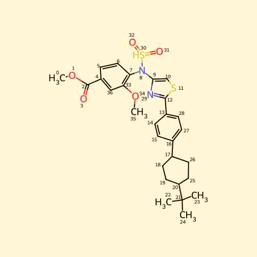 COC(=O)c1ccc(N(c2csc(-c3ccc(C4CCC(C(C)(C)C)CC4)cc3)n2)[SH](=O)=O)c(OC)c1